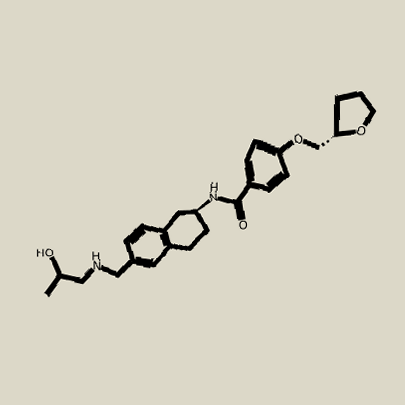 CC(O)CNCc1ccc2c(c1)CC[C@H](NC(=O)c1ccc(OC[C@@H]3CCCO3)cc1)C2